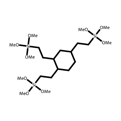 CO[Si](CCC1CCC(CC[Si](OC)(OC)OC)C(CC[Si](OC)(OC)OC)C1)(OC)OC